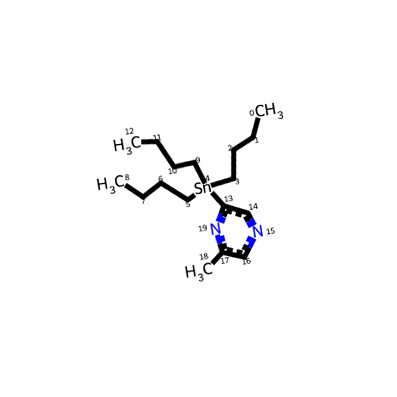 CCC[CH2][Sn]([CH2]CCC)([CH2]CCC)[c]1cncc(C)n1